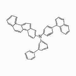 c1ccc(-c2cccc(N(c3ccc(-c4cccc5ccccc45)cc3)c3ccc4c(ccc5c6ccccc6ccc45)c3)c2)cc1